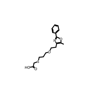 Cc1oc(-c2ccccc2)nc1CCOCCCSCC(=O)O